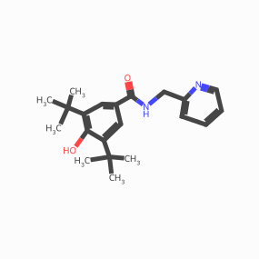 CC(C)(C)c1cc(C(=O)NCc2ccccn2)cc(C(C)(C)C)c1O